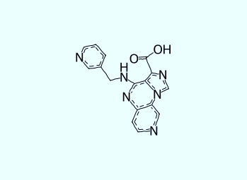 O=C(O)c1ncn2c1c(NCc1cccnc1)nc1ccncc12